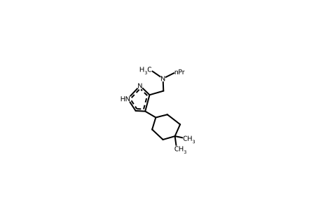 CCCN(C)Cc1n[nH]cc1C1CCC(C)(C)CC1